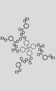 CCOc1cccc(C(=O)OOC(=O)OC2CCC(C(C3CCC(OC(=O)OOC(=O)c4cccc(OCC)c4)CC3)(C3CCC(OC(=O)OOC(=O)c4cccc(OCC)c4)CC3)C3CCC(OC(=O)OOC(=O)c4cccc(OCC)c4)CC3)CC2)c1